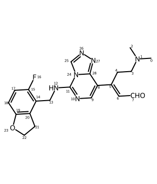 CN(C)CC/C(=C\C=O)c1cnc(NCc2c(F)ccc3c2CCO3)n2cnnc12